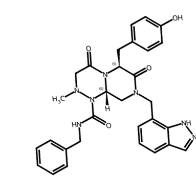 CN1CC(=O)N2[C@@H](Cc3ccc(O)cc3)C(=O)N(Cc3cccc4cn[nH]c34)C[C@@H]2N1C(=O)NCc1ccccc1